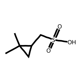 CC1(C)CC1CS(=O)(=O)O